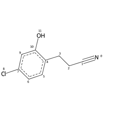 N#CCCc1ccc(Cl)cc1O